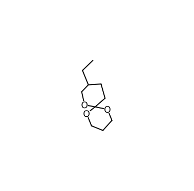 CCC1CCC2(OCCCO2)OC1